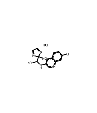 CCCC(Nc1cnc2cc(Cl)ccc2c1)C1([N+](=O)[O-])N=CC=N1.Cl